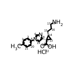 Cc1ccc(-n2cnc([C@@]3(C(=O)O)C[C@@H]3CCCN)c2)cc1.Cl